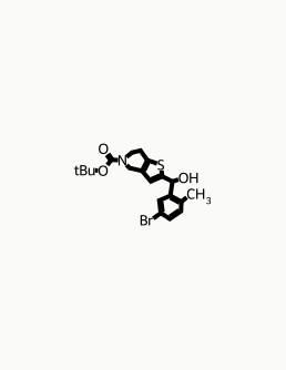 Cc1ccc(Br)cc1C(O)c1cc2c(s1)CCN(C(=O)OC(C)(C)C)C2